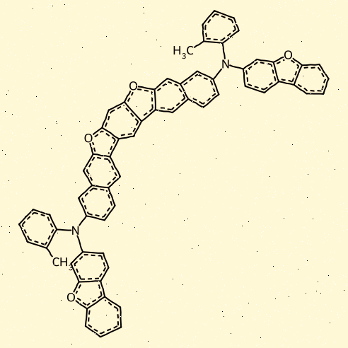 Cc1ccccc1N(c1ccc2cc3c(cc2c1)oc1cc2oc4cc5cc(N(c6ccc7c(c6)oc6ccccc67)c6ccccc6C)ccc5cc4c2cc13)c1ccc2c(c1)oc1ccccc12